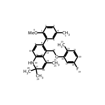 COc1ccc(C)cc1-c1ccc2c(c1COc1cc(F)ccc1C)C(C)=CC(C)(C)N2